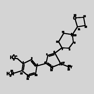 Cc1cc(-c2cc(C3CCN(C4CCO4)CC3)n(C(C)C)n2)cnc1N